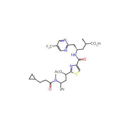 CC(=O)OC(CC(C(C)C)N(C)C(=O)CCC1CC1)c1nc(C(=O)N[C@@H](Cc2ncc(C(F)(F)F)cn2)CC(C)C(=O)O)cs1